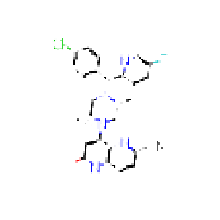 CC1CN(c2cc(=O)n(C)c3ccc(C#N)nc23)[C@@H](C)CN1C(c1ccc(Cl)cc1)c1ccc(F)cn1